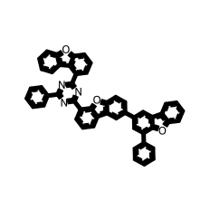 c1ccc(-c2nc(-c3cccc4c3oc3ccc(-c5cc(-c6ccccc6)c6oc7ccccc7c6c5)cc34)nc(-c3cccc4oc5ccccc5c34)n2)cc1